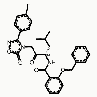 CC(C)C[C@H](NC(=O)c1ccccc1OCc1ccccc1)C(=O)Cn1c(-c2ccc(F)cc2)noc1=O